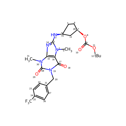 Cn1c(N[C@H]2CC[C@@H](OC(=O)OC(C)(C)C)C2)nc2c1c(=O)n(Cc1ccc(C(F)(F)F)cc1)c(=O)n2C